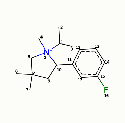 CC(C)[N+]1(C)CC(C)(C)CC1c1cccc(F)c1